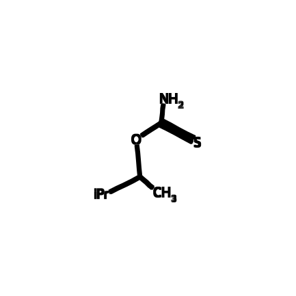 CC(C)C(C)OC(N)=S